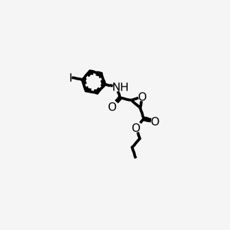 CCCOC(=O)C1OC1C(=O)Nc1ccc(I)cc1